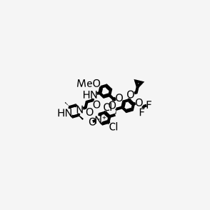 COc1ccc(C(=O)O[C@@H](Cc2c(Cl)c[n+]([O-])cc2Cl)c2ccc(OC(F)F)c(OCC3CC3)c2)cc1NC(=O)CC(=O)N1C[C@@H](C)NC[C@@H]1C